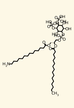 CCCCCCCCCCCCCCCC(=O)O[C@H](COC(=O)CCCCCCCCCCCCCN)COP(=O)(O)OC1C(O)[C@@H](OP(=O)(O)O)C(OP(=O)(O)O)[C@@H](O)[C@H]1O